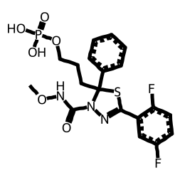 CONC(=O)N1N=C(c2cc(F)ccc2F)SC1(CCCOP(=O)(O)O)c1ccccc1